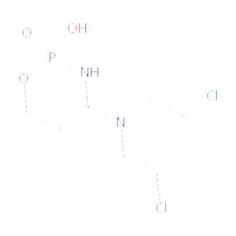 O=P1(O)NC(N(CCCl)CCCl)CCO1